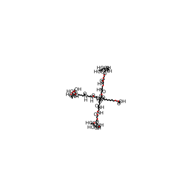 CC(=O)NC1C(O)[C@H](O)C(CO)O[C@H]1OCCCCC(=O)CNCCCNC(=O)CCOCC(COCCC(=O)NCCCNC(=O)CCCCO[C@@H]1OC(CO)[C@@H](O)C(O)C1NC(C)=O)(COCCC(=O)NCCCNC(=O)CCCCO[C@@H]1OC(CO)[C@@H](O)C(O)C1NC(C)=O)NC(=O)CCCCCCCCCCC(=O)O